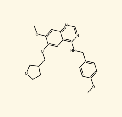 COc1ccc(CNc2ncnc3cc(OC)c(OCC4CCOC4)cc23)cc1